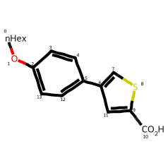 CCCCCCOc1ccc(-c2csc(C(=O)O)c2)cc1